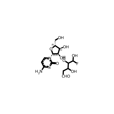 Nc1ccn([C@@H]2O[C@H](CO)[C@@H](O)[C@H]2O)c(=O)n1.O=CCC(O)C(O)C(O)F